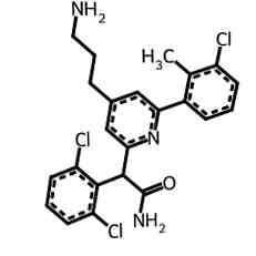 Cc1c(Cl)cccc1-c1cc(CCCN)cc(C(C(N)=O)c2c(Cl)cccc2Cl)n1